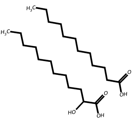 CCCCCCCCCCC(O)C(=O)O.CCCCCCCCCCCC(=O)O